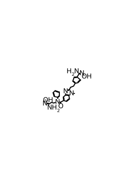 Cn1c(CCc2ccc(/C(N)=N\O)cc2)nc2cc(C(=O)N(CC/C(N)=N\O)c3ccccc3)ccc21